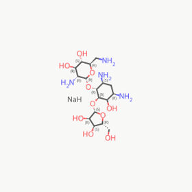 NC[C@H]1O[C@H](O[C@H]2[C@H](O[C@@H]3O[C@H](CO)[C@@H](O)[C@H]3O)C(O)[C@H](N)C[C@@H]2N)[C@H](N)[C@@H](O)[C@@H]1O.[NaH]